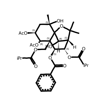 CC(=O)O[C@H]1C[C@](C)(O)C23OC(C)(C)[C@H]([C@H](OC(=O)C(C)C)[C@@H](OC(=O)c4ccccc4)[C@]2(COC(=O)C(C)C)[C@H]1OC(C)=O)[C@H]3O